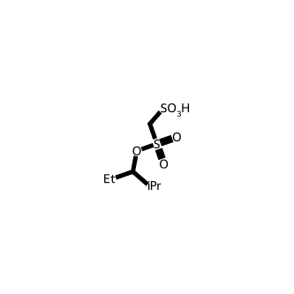 CCC(OS(=O)(=O)CS(=O)(=O)O)C(C)C